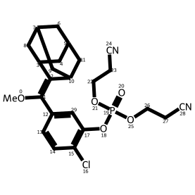 COC(=C1C2CC3CC(C2)CC1C3)c1ccc(Cl)c(OP(=O)(OCCC#N)OCCC#N)c1